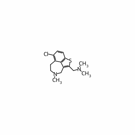 CN(C)Cc1sc2ccc(Cl)c3c2c1CN(C)CC3